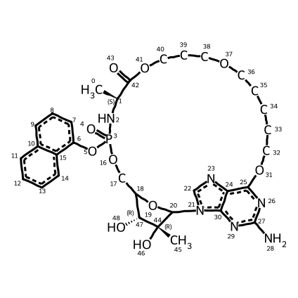 C[C@@H]1NP(=O)(Oc2cccc3ccccc23)OCC2OC(n3cnc4c(nc(N)nc43)OCCCCCOCCCOC1=O)[C@](C)(O)[C@@H]2O